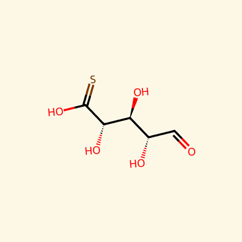 O=C[C@H](O)[C@H](O)[C@H](O)C(O)=S